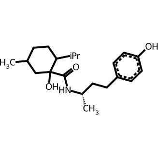 CC1CCC(C(C)C)C(O)(C(=O)N[C@@H](C)CCc2ccc(O)cc2)C1